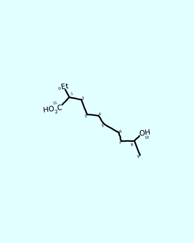 CCC(CCCCCCC(C)O)C(=O)O